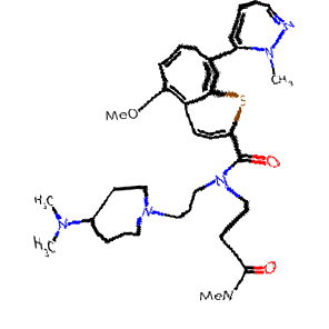 CNC(=O)CCN(CCN1CCC(N(C)C)CC1)C(=O)c1cc2c(OC)ccc(-c3ccnn3C)c2s1